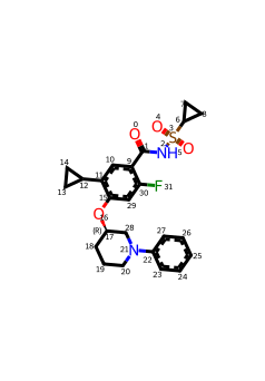 O=C(NS(=O)(=O)C1CC1)c1cc(C2CC2)c(O[C@@H]2CCCN(c3ccccc3)C2)cc1F